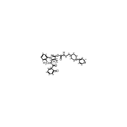 Cc1ccccc1-n1nc(OC(=O)NCCC2CCN(c3ccncc3)CC2)c(C)c1NC(=O)c1ccccc1Cl